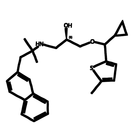 Cc1ccc(C(OC[C@H](O)CNC(C)(C)Cc2ccc3ccccc3c2)C2CC2)s1